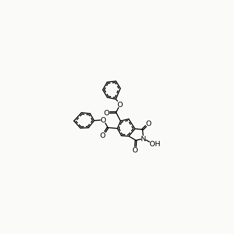 O=C(Oc1ccccc1)c1cc2c(cc1C(=O)Oc1ccccc1)C(=O)N(O)C2=O